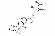 CC(CCC1CN(c2ccc3cc(-c4ccccc4C(F)(F)F)[nH]c(=O)c3c2)C(=O)O1)C(N)C(=O)O